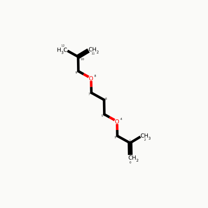 C=C(C)CO[CH]CCOCC(=C)C